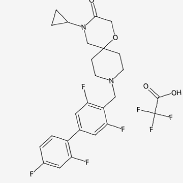 O=C(O)C(F)(F)F.O=C1COC2(CCN(Cc3c(F)cc(-c4ccc(F)cc4F)cc3F)CC2)CN1C1CC1